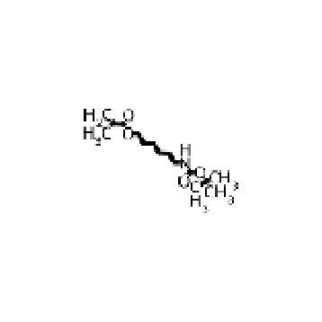 C=C(C)C(=O)OCCCCCCNC(=O)OC(C)(C)C